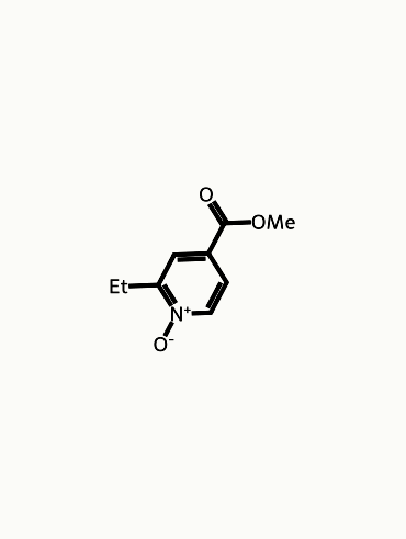 CCc1cc(C(=O)OC)cc[n+]1[O-]